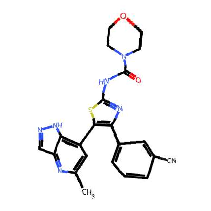 Cc1cc(-c2sc(NC(=O)N3CCOCC3)nc2-c2cccc(C#N)c2)c2[nH]ncc2n1